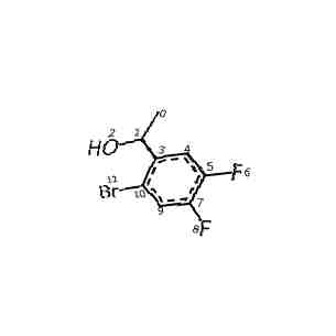 CC(O)c1cc(F)c(F)cc1Br